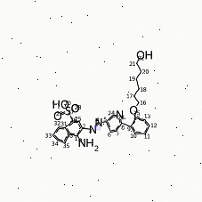 Nc1c(/N=N/c2ccc(-c3ccccc3OCCCCCCO)nc2)cc(S(=O)(=O)O)c2ccccc12